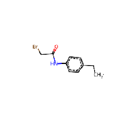 [CH2]Cc1ccc(NC(=O)CBr)cc1